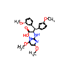 COc1cccc(C(c2cccc(OC)c2)C(Nc2nc(OC)cc(OC)n2)C(=O)O)c1